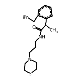 CC(C)Cc1ccccc1[C@@H](C)C(=O)NCCCN1CCSCC1